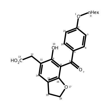 CCCCCCOc1ccc(C(=O)c2c(O)c(CC(=O)O)cc3c2OCC3)cc1